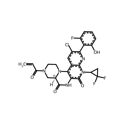 C=CC(=O)N1CCN2c3c(c(=O)n(C4CC4(F)F)c4nc(-c5c(O)cccc5F)c(Cl)cc34)NC(=O)[C@H]2C1